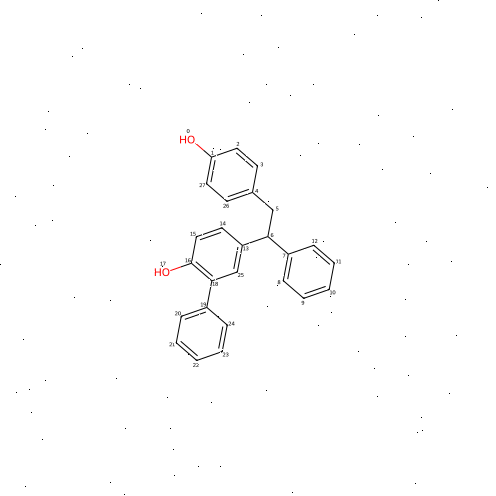 Oc1ccc(CC(c2ccccc2)c2ccc(O)c(-c3ccccc3)c2)cc1